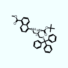 COC(=O)c1cccc2c(NC[C@H](CSC(c3ccccc3)(c3ccccc3)c3ccccc3)NC(=O)OC(C)(C)C)cccc12